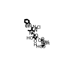 Cc1nn([C@@H]2O[C@H](COP(=O)(O)CP(=O)(O)O)[C@@H](O)[C@H]2O)c2nc(Cl)nc(NCc3ccccc3Cl)c12